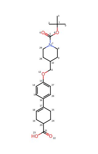 CC(C)(C)OC(=O)N1CCC(COc2ccc(C3=CCC(C(=O)O)CC3)cc2)CC1